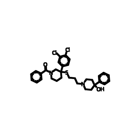 O=C(c1ccccc1)N1CCCC(SCCCN2CCC(O)(c3ccccc3)CC2)(c2ccc(Cl)c(Cl)c2)C1